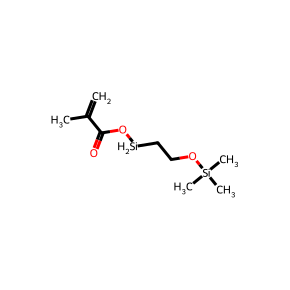 C=C(C)C(=O)O[SiH2]CCO[Si](C)(C)C